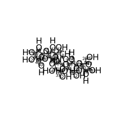 CC(=O)N[C@H]1[C@H](O[C@H]2[C@@H](O)[C@@H](CO)O[C@@H](O[C@H]3[C@H](O)[C@@H](O)[C@H](O)O[C@@H]3CO)[C@@H]2O)O[C@H](CO)[C@@H](O)[C@@H]1O[C@@H]1O[C@H](CO)[C@H](O)[C@H](O[C@H]2O[C@H](CO)[C@H](O)[C@H](O)[C@H]2O)[C@H]1O